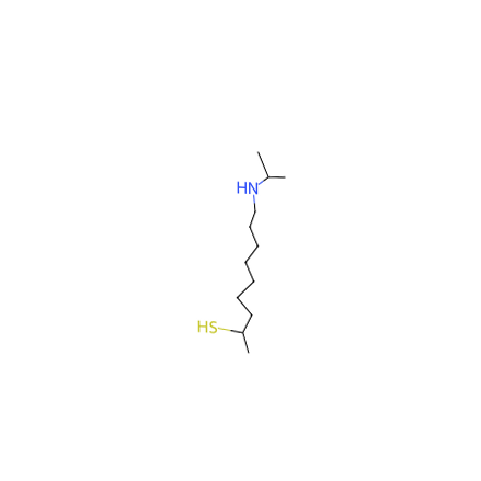 CC(S)CCCCCCCNC(C)C